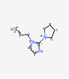 C=CCn1ccnc1N1CCCC1